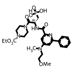 CCOC(=O)N1CCN(C(=O)[C@H](CP(=O)(O)O)NC(=O)c2cc(N(C)CCOC)cc(-c3ccccc3)n2)CC1